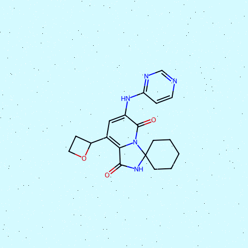 O=C1NC2(CCCCC2)n2c1c(C1CCO1)cc(Nc1ccncn1)c2=O